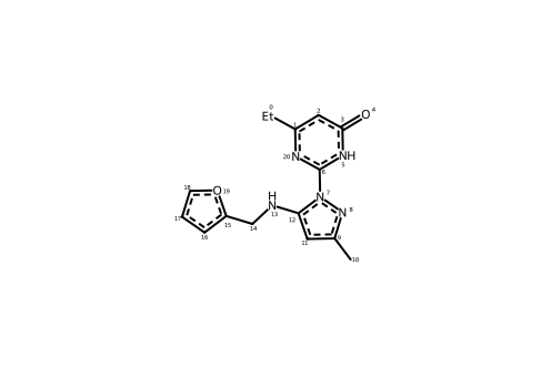 CCc1cc(=O)[nH]c(-n2nc(C)cc2NCc2ccco2)n1